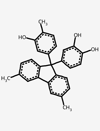 Cc1ccc2c(c1)-c1cc(C)ccc1C2(c1ccc(C)c(O)c1)c1ccc(O)c(O)c1